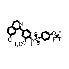 COc1cc(C2=NCCc3ccc(Cl)cc32)ccc1NS(=O)(=O)c1ccc(OC(F)(F)F)cc1